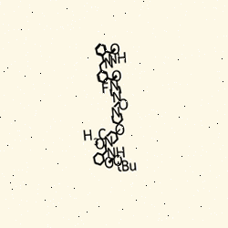 C[C@@H]1C[C@@H](OC2CCN(CC(=O)N3CCN(C(=O)c4cc(Cc5n[nH]c(=O)c6ccccc56)ccc4F)CC3)CC2)CCN1C(=O)[C@H](NC(=O)OC(C)(C)C)C1CCCCC1